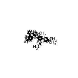 C=CC(=O)Nc1cc(Nc2cc(N3OCCC3c3cccc(C(F)(F)F)c3F)ncn2)c(OC)cc1N1CCC(N(C)C)CC1